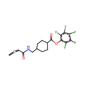 C=C=CC(=O)NCC1CCC(C(=O)Oc2c(F)c(F)c(F)c(F)c2F)CC1